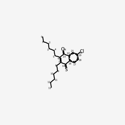 CCCCCCC1=C(CCCCCC)C(=S)c2ccc(Cl)cc2C1=O